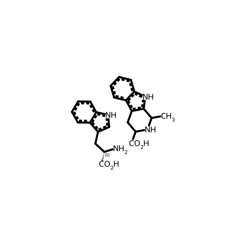 CC1NC(C(=O)O)Cc2c1[nH]c1ccccc21.N[C@@H](Cc1c[nH]c2ccccc12)C(=O)O